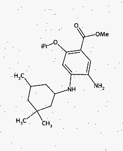 COC(=O)c1cc(N)c(NC2CC(C)CC(C)(C)C2)cc1OC(C)C